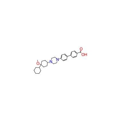 COC1(C2CCCCC2)CCC(N2CCN(c3ccc(-c4ccc(C(=O)O)cc4)cc3)CC2)CC1